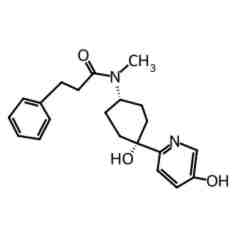 CN(C(=O)CCc1ccccc1)[C@H]1CC[C@](O)(c2ccc(O)cn2)CC1